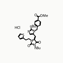 CCCCc1ncc(C=C2C(=O)N(CCCC)C(=O)N2CCc2cccs2)n1Cc1ccc(C(=O)OC)cc1.Cl